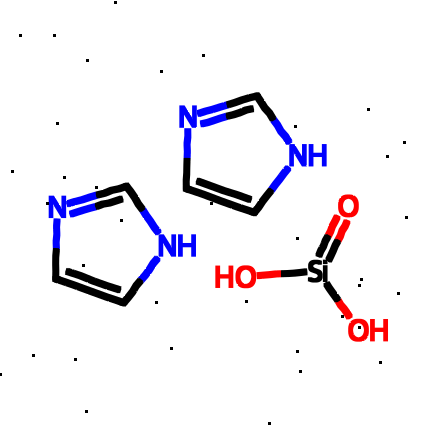 O=[Si](O)O.c1c[nH]cn1.c1c[nH]cn1